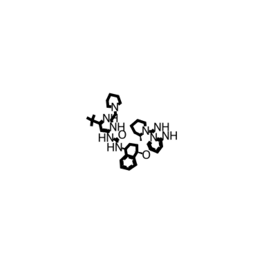 C[C@H]1CCCCN1C(=N)n1cc(O[C@@H]2CC[C@H](NC(=O)N/C(=C/C(=N)C(C)(C)C)NCCN3CCCCC3)c3ccccc32)ccc1=N